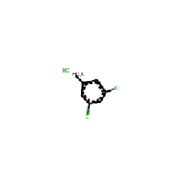 Cl.O=C(O)c1cc(Cl)cc(Cl)c1